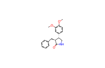 COc1ccc([C@@H]2CNC(=O)[C@H]2Cc2ccccc2)cc1OC